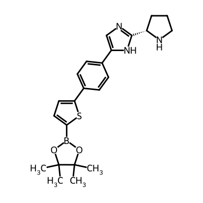 CC1(C)OB(c2ccc(-c3ccc(-c4cnc([C@@H]5CCCN5)[nH]4)cc3)s2)OC1(C)C